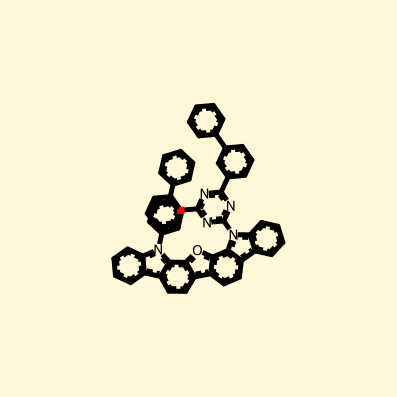 c1ccc(-c2ccc(-n3c4ccccc4c4ccc5c6ccc7c8ccccc8n(-c8nc(-c9ccccc9)nc(-c9cccc(-c%10ccccc%10)c9)n8)c7c6oc5c43)cc2)cc1